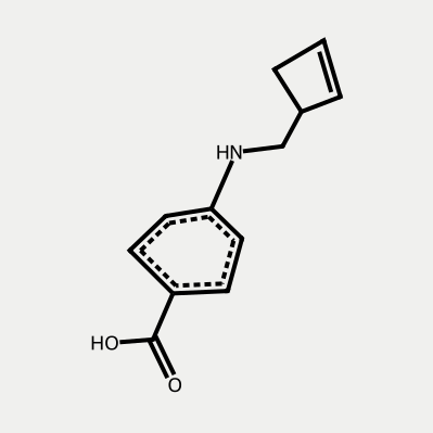 O=C(O)c1ccc(NCC2C=CC2)cc1